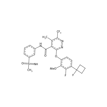 COc1c(Oc2nnc(C(F)(F)F)c(C)c2C(=O)Nc2cccc(S(C)(=N)=O)c2)ccc(C2(F)CCC2)c1F